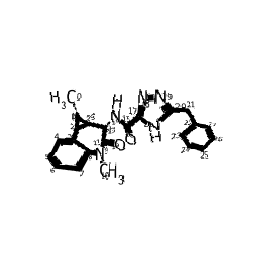 C[C@H]1C2c3ccccc3N(C)C(=O)[C@@H](NC(=O)c3nnc(Cc4ccccc4)[nH]3)C21